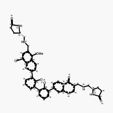 COc1c(CNC[C@@H]2CCC(=O)N2)cc(Cl)c2nc(-c3cccc(-c4cccc(-c5ccn6c(=O)c(CNC[C@H]7CCC(=O)N7)cnc6c5)c4Cl)c3Cl)ccc12